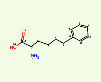 N[C@@H](CCCCc1ccccc1)C(=O)O